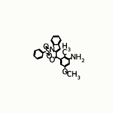 COc1cc(N)c(C)c(C(=O)c2cc3ccccc3n2S(=O)(=O)c2ccccc2)c1